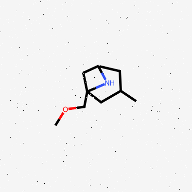 COCC12CC(C)CC(C1)N2